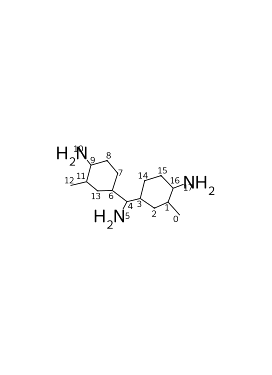 CC1CC(C(N)C2CCC(N)C(C)C2)CCC1N